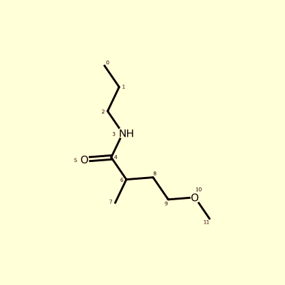 CCCNC(=O)C(C)CCOC